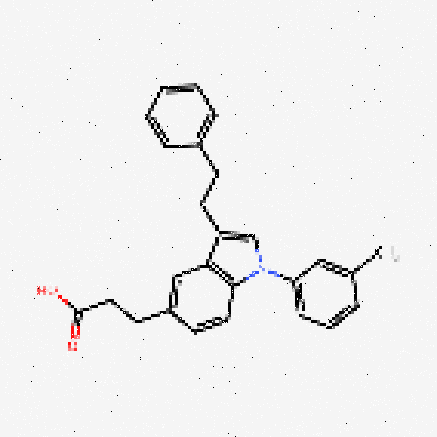 Cc1cccc(-n2cc(CCc3ccccc3)c3cc(CCC(=O)O)ccc32)c1